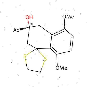 COc1ccc(OC)c2c1C[C@](O)(C(C)=O)CC21SCCS1